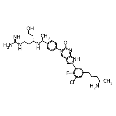 C[C@H](N)CCCc1cc(Cl)c(F)c(-c2cc3cn(-c4ccc([C@H](C)N[C@@H](CCO)CCNC(=N)N)cc4)c(=O)nc3[nH]2)c1